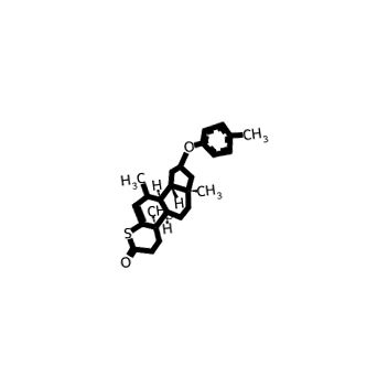 Cc1ccc(OC2C[C@H]3[C@@H]4C(C)C=C5SC(=O)CC[C@]5(C)[C@@H]4CC[C@]3(C)C2)cc1